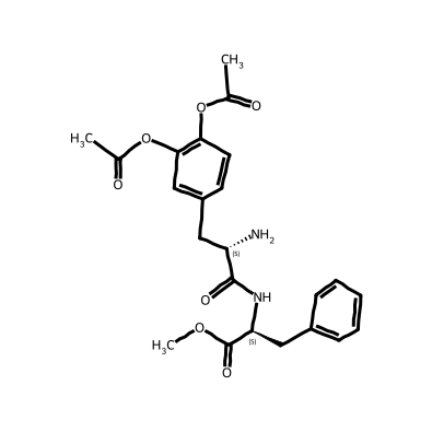 COC(=O)[C@H](Cc1ccccc1)NC(=O)[C@@H](N)Cc1ccc(OC(C)=O)c(OC(C)=O)c1